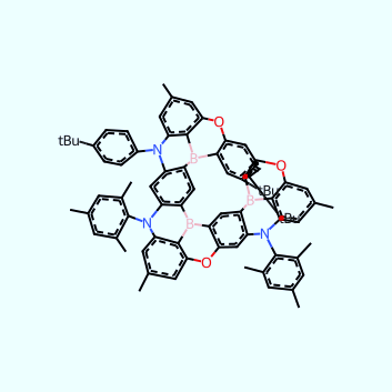 Cc1cc(C)c(N2c3cc4c(cc3B3c5cc(C(C)(C)C)ccc5Oc5cc(C)cc2c53)B2c3cc5c(cc3N(c3c(C)cc(C)cc3C)c3cc(C)cc(c32)O4)N(c2ccc(C(C)(C)C)cc2)c2cc(C)cc3c2B5c2cc(C(C)(C)C)ccc2O3)c(C)c1